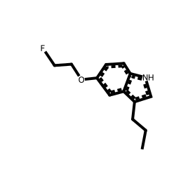 CCCc1c[nH]c2ccc(OCCF)cc12